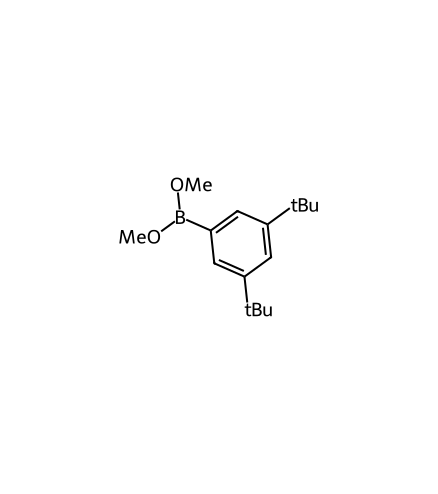 COB(OC)c1cc(C(C)(C)C)cc(C(C)(C)C)c1